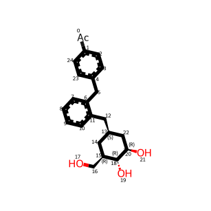 CC(=O)c1ccc(Cc2ccccc2C[C@@H]2C[C@H](CO)[C@@H](O)[C@H](O)C2)cc1